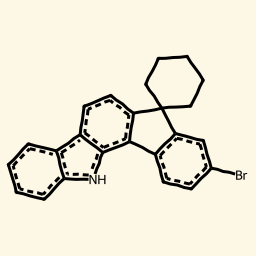 Brc1ccc2c(c1)C1(CCCCC1)c1ccc3c([nH]c4ccccc43)c1-2